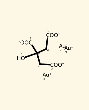 O=C([O-])CC(O)(CC(=O)[O-])C(=O)[O-].[Au+].[Au+].[Au+]